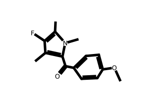 COc1ccc(C(=O)c2c(C)c(F)c(C)n2C)cc1